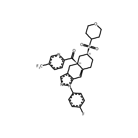 O=C(c1ccc(C(F)(F)F)cn1)[C@]12Cc3cnn(-c4ccc(F)cc4)c3C=C1CC[C@H](S(=O)(=O)C1CCOCC1)C2